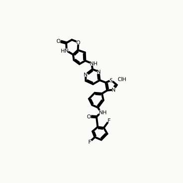 Cl.O=C1COc2cc(Nc3nccc(-c4scnc4-c4cccc(NC(=O)c5cc(F)ccc5F)c4)n3)ccc2N1